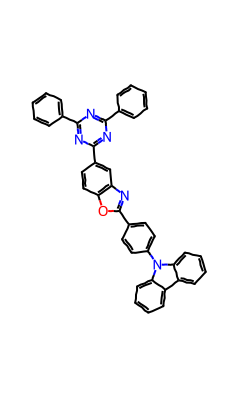 c1ccc(-c2nc(-c3ccccc3)nc(-c3ccc4oc(-c5ccc(-n6c7ccccc7c7ccccc76)cc5)nc4c3)n2)cc1